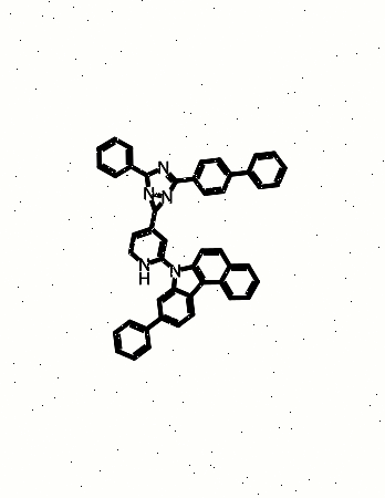 C1=C(C2N3C(c4ccc(-c5ccccc5)cc4)=NC(c4ccccc4)N23)C=C(n2c3cc(-c4ccccc4)ccc3c3c4ccccc4ccc32)NC1